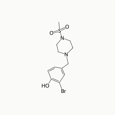 CS(=O)(=O)N1CCN(Cc2ccc(O)c(Br)c2)CC1